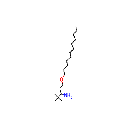 CCCCCCCCCCCCOCCC(N)C(C)(C)C